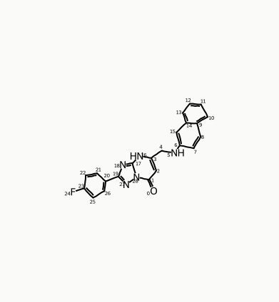 O=c1cc(CNc2ccc3ccccc3c2)[nH]c2nc(-c3ccc(F)cc3)nn12